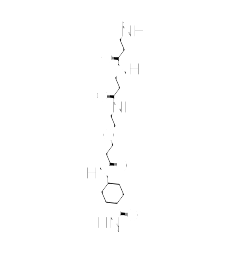 CNCCC(=O)NCCC(=O)NCCOCCC(=O)N[C@H]1CC[C@@H](C(=O)NC)CC1